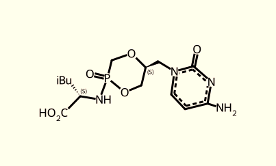 CCC(C)[C@H](NP1(=O)CO[C@@H](Cn2ccc(N)nc2=O)CO1)C(=O)O